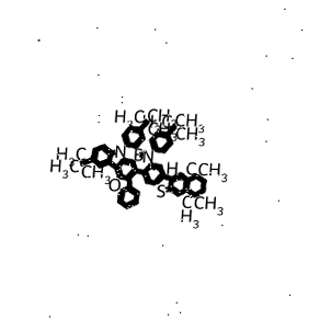 CC(C)(C)c1ccc(N2B3c4cc(C(C)(C)C)ccc4-n4c5ccc(C(C)(C)C)cc5c5c6oc7ccccc7c6c(c3c54)-c3cc4sc5cc6c(cc5c4cc32)C(C)(C)CCC6(C)C)cc1